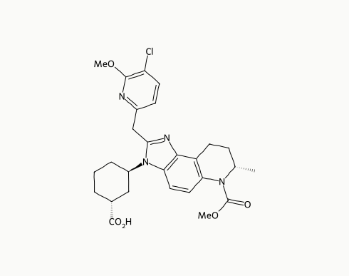 COC(=O)N1c2ccc3c(nc(Cc4ccc(Cl)c(OC)n4)n3[C@@H]3CCC[C@@H](C(=O)O)C3)c2CC[C@@H]1C